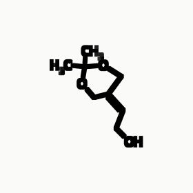 CC1(C)OCC(=CCO)CO1